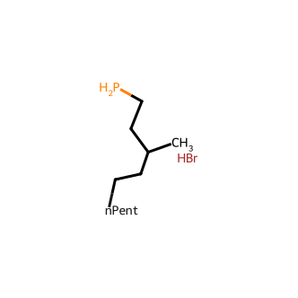 Br.CCCCCCCC(C)CCP